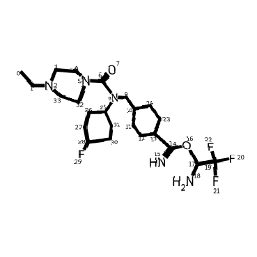 CCN1CCN(C(=O)N(CC2CCC(C(=N)OC(N)C(F)(F)F)CC2)C2CCC(F)CC2)CC1